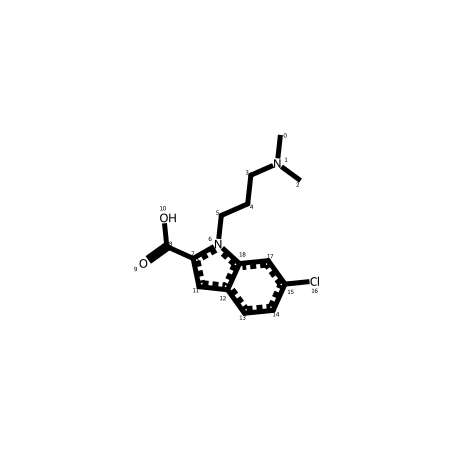 CN(C)CCCn1c(C(=O)O)cc2ccc(Cl)cc21